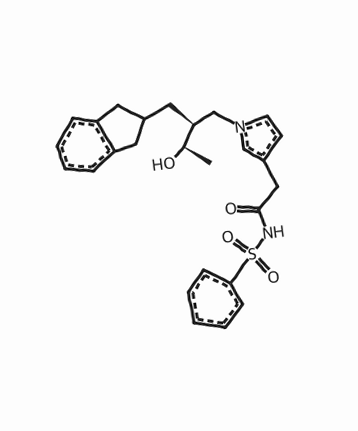 C[C@@H](O)[C@@H](CC1Cc2ccccc2C1)Cn1ccc(CC(=O)NS(=O)(=O)c2ccccc2)c1